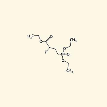 CCOC(=O)C(F)CCP(=O)(OCC)OCC